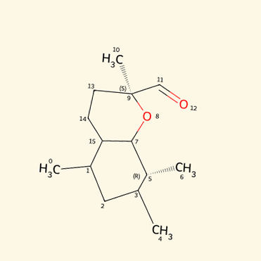 CC1CC(C)[C@@H](C)C2O[C@](C)(C=O)CCC12